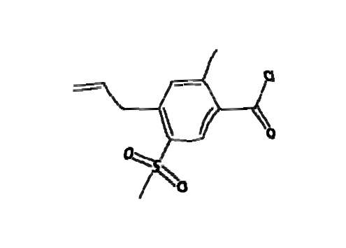 C=CCc1cc(C)c(C(=O)Cl)cc1S(C)(=O)=O